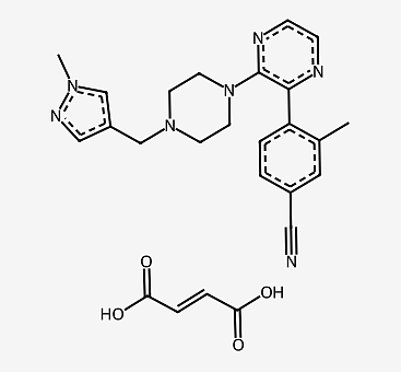 Cc1cc(C#N)ccc1-c1nccnc1N1CCN(Cc2cnn(C)c2)CC1.O=C(O)C=CC(=O)O